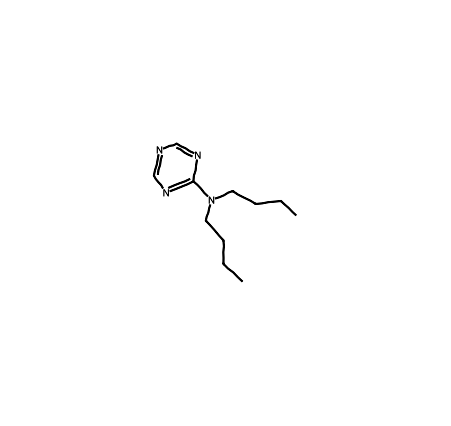 CCCCN(CCCC)c1ncncn1